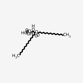 CCCCCCCCCCCCCCCC(=O)OC(C(=O)CCCCCCCCCCCCCCC)C(O)COP(=O)(O)O